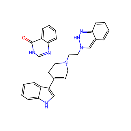 C1=C(c2c[nH]c3ccccc23)CCN(CCN2C=c3ccccc3=NN2)C1.O=c1[nH]cnc2ccccc12